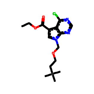 CCOC(=O)c1cn(COCC[Si](C)(C)C)c2ncnc(Cl)c12